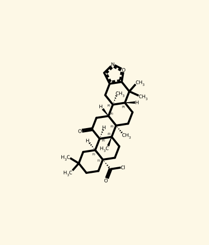 CC1(C)CC[C@]2(C(=O)Cl)CC[C@]3(C)[C@H](C(=O)C[C@@H]4[C@@]5(C)Cc6cnoc6C(C)(C)[C@@H]5CC[C@]43C)[C@@H]2C1